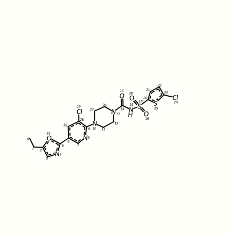 CCc1cnc(-c2cnc(N3CCN(C(=O)NS(=O)(=O)c4ccc(Cl)s4)CC3)c(Cl)c2)o1